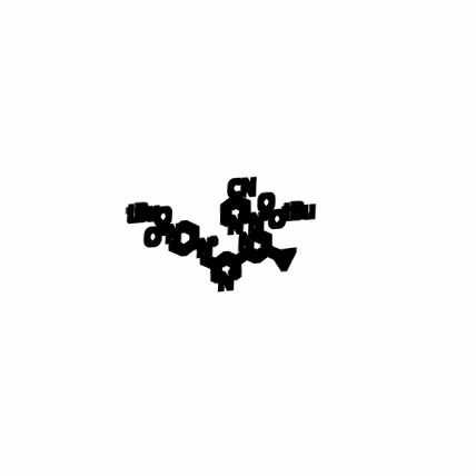 CN(Cc1cncc(-c2cc(C3CC3)cc(N(C(=O)OC(C)(C)C)c3cc(C#N)ccn3)n2)c1)C1CCN(C(=O)OC(C)(C)C)CC1